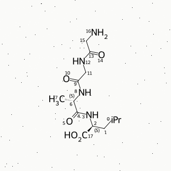 CC(C)C[C@H](NC(=O)[C@H](C)NC(=O)CNC(=O)CN)C(=O)O